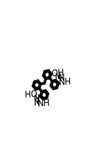 Oc1cccc(Cc2cccc(O)c2-c2cccc3[nH]nnc23)c1-c1cccc2[nH]nnc12